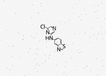 Clc1cncc(Nc2ccc3scnc3c2)n1